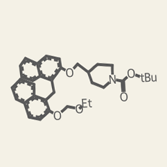 CCOCOc1ccc2ccccc2c1Cc1c(OCC2CCN(C(=O)OC(C)(C)C)CC2)ccc2ccccc12